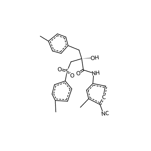 [C-]#[N+]c1ccc(NC(=O)[C@](O)(Cc2ccc(C)cc2)CS(=O)(=O)c2ccc(C)cc2)cc1C